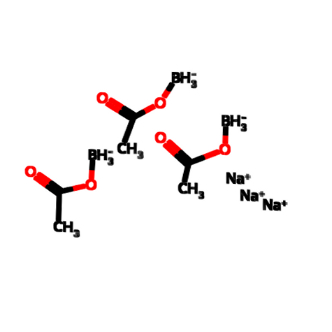 [BH3-]OC(C)=O.[BH3-]OC(C)=O.[BH3-]OC(C)=O.[Na+].[Na+].[Na+]